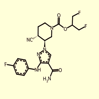 N#C[C@@H]1CCN(C(=O)OC(CF)CF)C[C@H]1n1cc(C(N)=O)c(Nc2ccc(F)cc2)n1